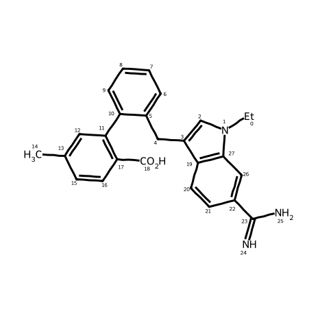 CCn1cc(Cc2ccccc2-c2cc(C)ccc2C(=O)O)c2ccc(C(=N)N)cc21